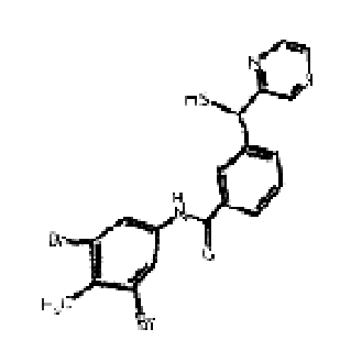 Cc1c(Br)cc(NC(=O)c2cccc(C(S)c3cnccn3)c2)cc1Br